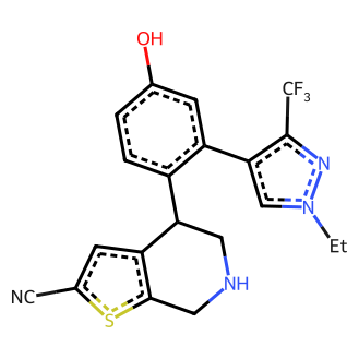 CCn1cc(-c2cc(O)ccc2C2CNCc3sc(C#N)cc32)c(C(F)(F)F)n1